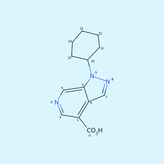 O=C(O)c1cncc2c1cnn2C1CCCCC1